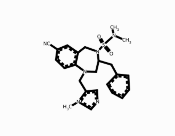 CN(C)S(=O)(=O)N1Cc2cc(C#N)ccc2N(Cc2cncn2C)CC1Cc1ccccc1